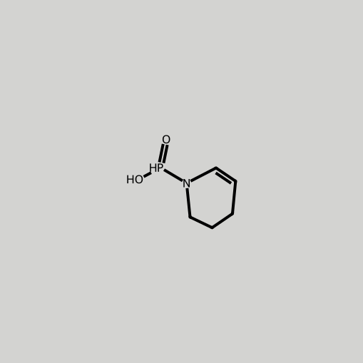 O=[PH](O)N1C=CCCC1